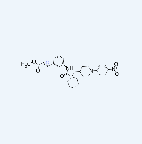 COC(=O)/C=C/c1cccc(NC(=O)C2(CC3CCN(c4ccc([N+](=O)[O-])cc4)CC3)CCCCC2)c1